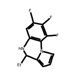 CCC1Nc2cc(F)c(F)c(F)c2-n2cccc21